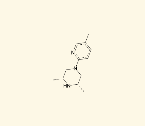 Cc1ccc(N2C[C@@H](C)N[C@@H](C)C2)nc1